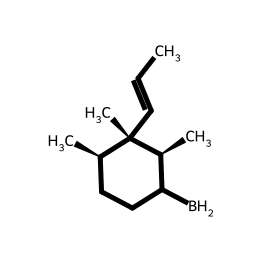 BC1CC[C@@H](C)[C@](C)(/C=C/C)[C@H]1C